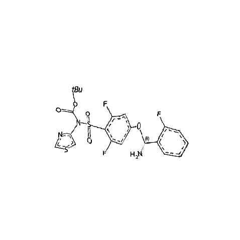 CC(C)(C)OC(=O)N(c1cscn1)S(=O)(=O)c1c(F)cc(O[C@@H](N)c2ccccc2F)cc1F